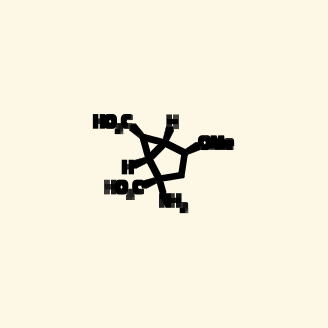 CO[C@H]1C[C@@](N)(C(=O)O)[C@@H]2[C@@H](C(=O)O)[C@@H]21